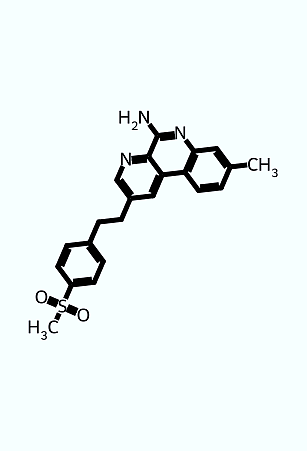 Cc1ccc2c(c1)nc(N)c1ncc(CCc3ccc(S(C)(=O)=O)cc3)cc12